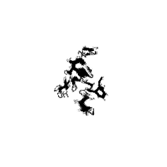 CCc1ccccc1[C@H](Cn1c(=O)n(C(C)(C)C(=O)O)c(=O)c2c(C)c(-n3nccn3)sc21)OCCC#N